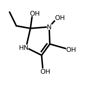 CCC1(O)NC(O)=C(O)N1O